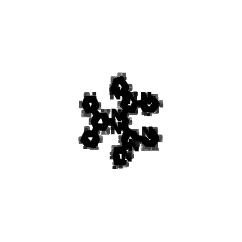 c1ccc(-c2cc(-c3ccccc3)cc(-c3nc(-c4cc(-c5ccccn5)nc(-c5ccccn5)c4)cc(-c4cc(-c5ccccn5)nc(-c5ccccn5)c4)n3)c2)cc1